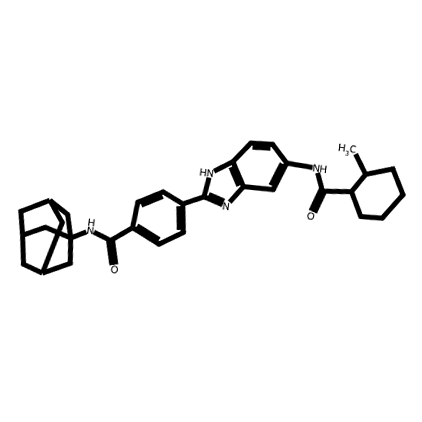 CC1CCCCC1C(=O)Nc1ccc2[nH]c(-c3ccc(C(=O)NC45CC6CC(CC(C6)C4)C5)cc3)nc2c1